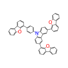 c1ccc2c(c1)oc1c(-c3ccc(-n4c5ccc(-c6cccc7c6oc6ccccc67)cc5c5cc(-c6cccc7c6oc6ccccc67)ccc54)cc3)cccc12